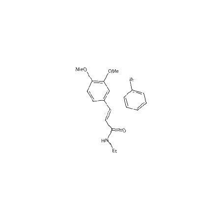 CC(C)c1ccccc1.CCNC(=O)/C=C/c1ccc(OC)c(OC)c1